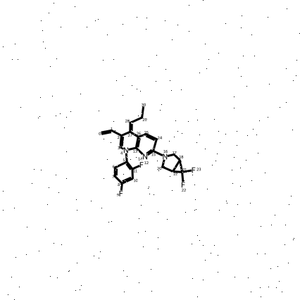 C=CC1=CN(c2ccc(F)cc2F)c2nc(N3CC4C(C3)C4(F)F)ccc2/C1=C\CC